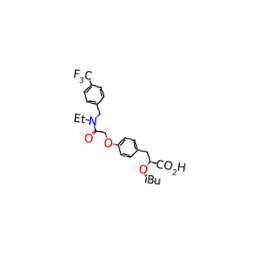 CCC(C)O[C@@H](Cc1ccc(OCC(=O)N(CC)Cc2ccc(C(F)(F)F)cc2)cc1)C(=O)O